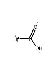 O=[C](O)[Hf]